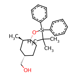 C[C@@H]1C[C@@H](CO)CC[C@H]1O[Si](c1ccccc1)(c1ccccc1)C(C)(C)C